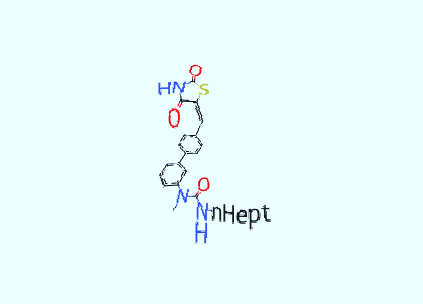 CCCCCCCNC(=O)N(C)c1cccc(-c2ccc(/C=C3/SC(=O)NC3=O)cc2)c1